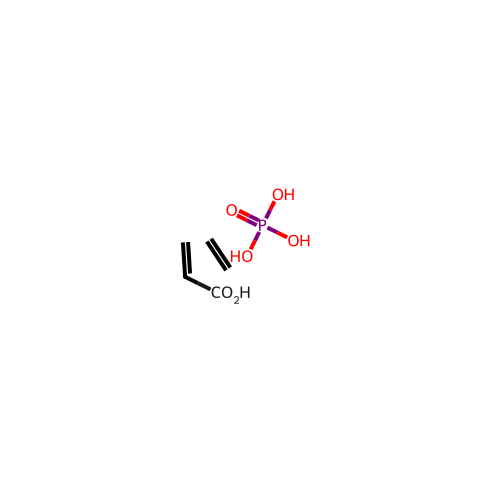 C=C.C=CC(=O)O.O=P(O)(O)O